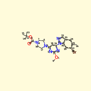 COc1nc(N2CCN(C(=O)OC(C)(C)C)CC2)cc(-n2ncc3cc(C)c(Br)cc32)n1